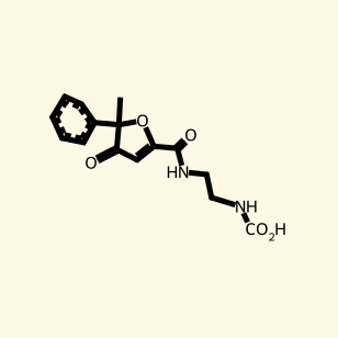 CC1(c2ccccc2)OC(C(=O)NCCNC(=O)O)=CC1=O